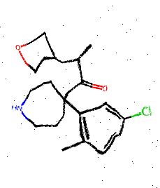 Cc1ccc(Cl)cc1C1(C(=O)C(C)C2COC2)CCNCC1